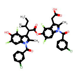 CCC(C)C(C(=O)Oc1c(F)cc2c(c1F)c(CC(=O)O)c(C)n2C(=O)c1cccc(Cl)c1)c1c(C)n(C(=O)c2cccc(Cl)c2)c2cc(F)c(O)c(F)c12